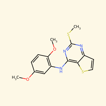 COc1ccc(OC)c(Nc2nc(SC)nc3ccsc23)c1